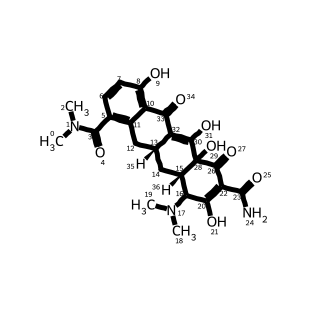 CN(C)C(=O)c1ccc(O)c2c1C[C@H]1C[C@H]3C(N(C)C)C(O)=C(C(N)=O)C(=O)C3(O)C(O)=C1C2=O